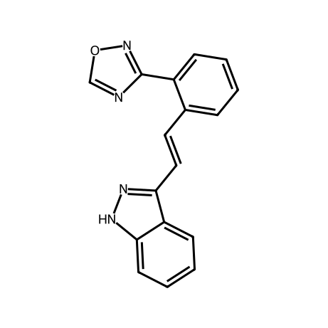 C(=Cc1n[nH]c2ccccc12)c1ccccc1-c1ncon1